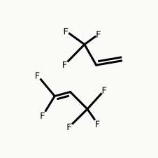 C=CC(F)(F)F.FC(F)=CC(F)(F)F